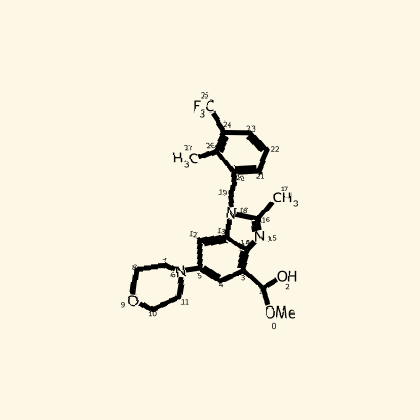 COC(O)c1cc(N2CCOCC2)cc2c1nc(C)n2Cc1cccc(C(F)(F)F)c1C